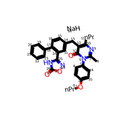 CCCOc1ccc(-n2c(C)nc(CCC)c(Cc3ccc(-c4ccccc4)c(-c4noc(=O)[nH]4)c3)c2=O)cc1.[NaH]